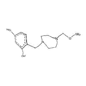 CC(C)(C)OCN1CCN(Cc2ccc(O)cc2O)CC1